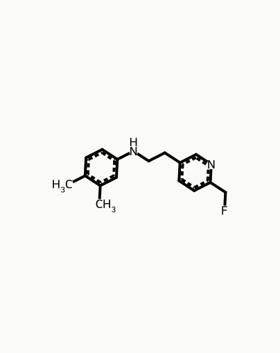 Cc1ccc(NCCc2ccc(CF)nc2)cc1C